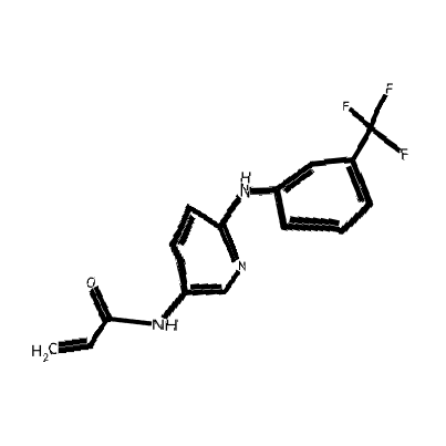 C=CC(=O)Nc1ccc(Nc2cccc(C(F)(F)F)c2)nc1